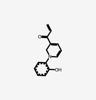 C=CC(=O)C1=CC=CN(c2ccccc2O)C1